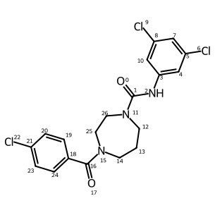 O=C(Nc1cc(Cl)cc(Cl)c1)N1CCCN(C(=O)c2ccc(Cl)cc2)CC1